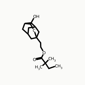 CCC(C)(C)C(=O)OCCC12CC3CC(CC(C3)C(O)C1)C2